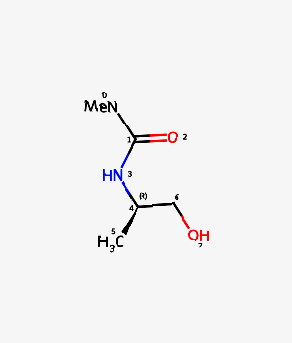 CNC(=O)N[C@H](C)CO